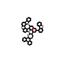 c1cc(-c2cccc3sc4ccccc4c23)cc(C2CCc3c(c4ccccc4c4ccccc34)N=C2n2c3ccc4sc5ccc6c7ccccc7n7c8cccc2c8c3c4c5c67)c1